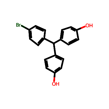 Oc1ccc(C(c2ccc(O)cc2)c2ccc(Br)cc2)cc1